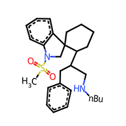 CCCCNCC(Cc1ccccc1)C1CCCCC12CN(S(C)(=O)=O)c1ccccc12